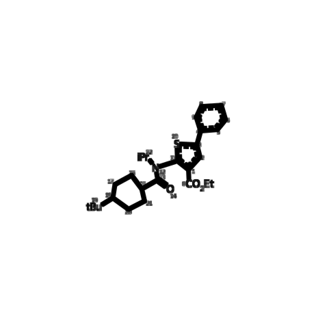 CCOC(=O)c1cc(-c2ccccc2)sc1N(C(=O)C1CCC(C(C)(C)C)CC1)C(C)C